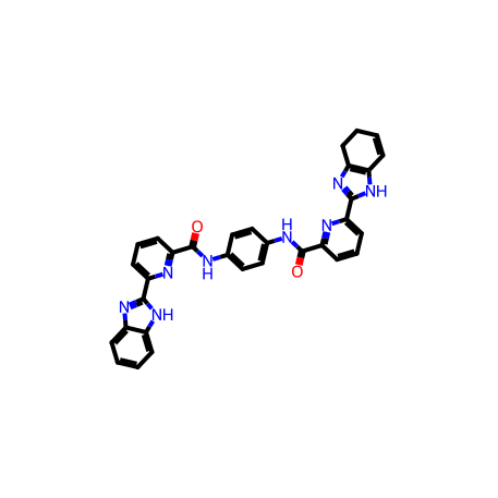 O=C(Nc1ccc(NC(=O)c2cccc(-c3nc4ccccc4[nH]3)n2)cc1)c1cccc(-c2nc3c([nH]2)C=CCC3)n1